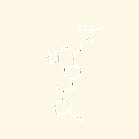 COc1cccc(C(=O)Nc2ccc(OCCNC(=N)N)c(-c3ccnn3C)c2)c1